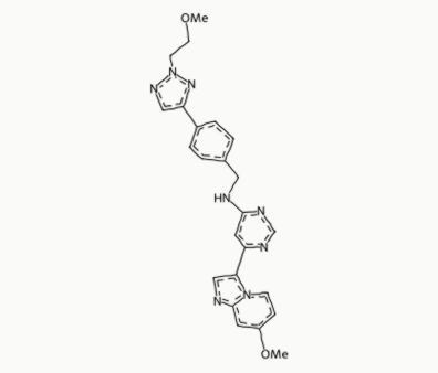 COCCn1ncc(-c2ccc(CNc3cc(-c4cnc5cc(OC)ccn45)ncn3)cc2)n1